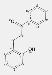 O=C(CCc1ccccc1O)c1ccccc1